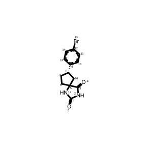 O=C1NC(=O)C2(CC[C@H](c3ccc(Br)cc3)C2)N1